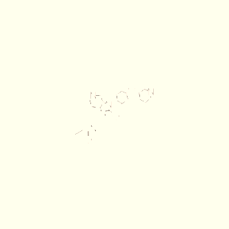 C=CC(=O)N1CCC(n2c(=O)n(-c3ccc(Oc4cccnc4)cc3)c3cnccc32)C1